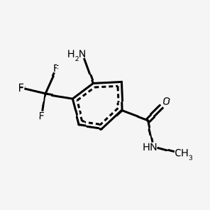 CNC(=O)c1ccc(C(F)(F)F)c(N)c1